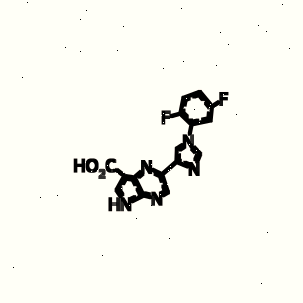 O=C(O)c1c[nH]c2ncc(-c3cn(-c4cc(F)ccc4F)cn3)nc12